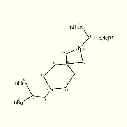 CCCCCCCC(CCCCCC)N1CC2(CCN(CC(CCCC)CCCCCC)CC2)C1